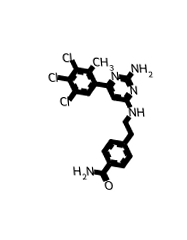 Cc1c(-c2cc(NCCc3ccc(C(N)=O)cc3)nc(N)n2)cc(Cl)c(Cl)c1Cl